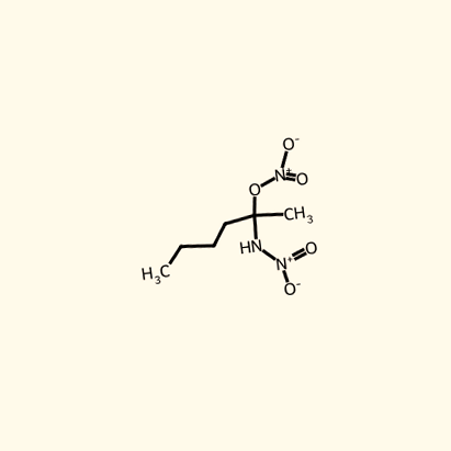 CCCCC(C)(N[N+](=O)[O-])O[N+](=O)[O-]